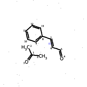 CC(C)=O.O=C/C=C/c1ccccc1